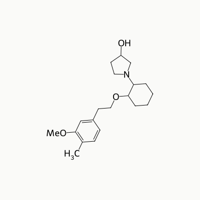 COc1cc(CCOC2CCCCC2N2CCC(O)C2)ccc1C